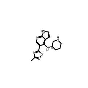 Cc1noc(-c2cnc3[nH]ccc3c2N[C@@H]2CCCNC2)n1